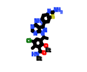 CCNC(=O)c1c(C)c(Cl)cc(C(C)n2nc(-c3ccc4nc(N)sc4c3)c3c(N)ncnc32)c1OCC